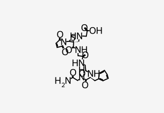 NC(=O)CNC(=O)[C@H](Cc1ccccc1)NC(=O)CNC(=O)CNC(=O)[C@]1(CNCC(=O)O)SC1N1C(=O)C=CC1=O